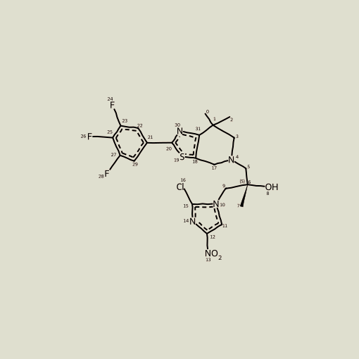 CC1(C)CN(C[C@](C)(O)Cn2cc([N+](=O)[O-])nc2Cl)Cc2sc(-c3cc(F)c(F)c(F)c3)nc21